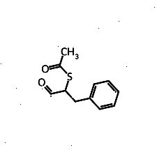 CC(=O)SC([C]=O)Cc1ccccc1